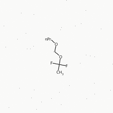 CCCO[CH]OC(C)(F)F